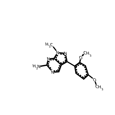 COc1ccc(-c2nn(C)c3nc(N)ncc23)c(OC)c1